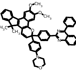 COc1cc2c3c(c4c(c2cc1OC)-c1ccccc1C4(C)C)C=CC(c1ccc(-c2nc(-c4ccccc4)c4ccccc4n2)cc1)(c1ccc(N2CCOCC2)cc1)O3